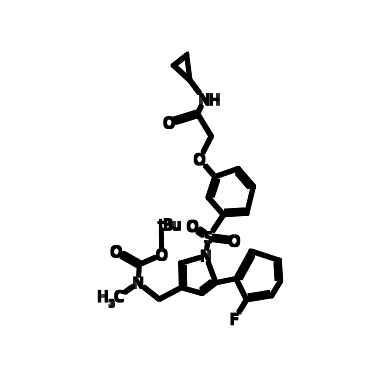 CN(Cc1cc(-c2ccccc2F)n(S(=O)(=O)c2cccc(OCC(=O)NC3CC3)c2)c1)C(=O)OC(C)(C)C